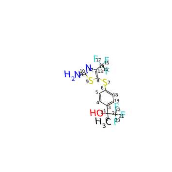 CC(O)(c1ccc(Sc2sc(N)nc2C(F)(F)F)cc1)C(F)(F)F